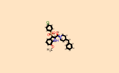 COc1cccc2c(S(=O)(=O)c3ccc(Cl)cc3)c(C(=O)N3CCC(Cc4ccccc4)CC3)[nH]c12